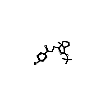 CC(C)(C)OC(=O)N1CCC[C@@]1(C)C(=O)OCC(=O)c1ccc(Br)cc1